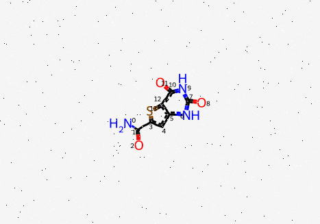 NC(=O)c1cc2[nH]c(=O)[nH]c(=O)c2s1